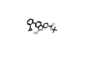 CC(C)(C)OC(=O)N1CCC2(C1)OB(O)c1cc(-c3ccccc3C3CC3)ccc12